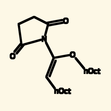 CCCCCCCCC=C(OCCCCCCCC)N1C(=O)CCC1=O